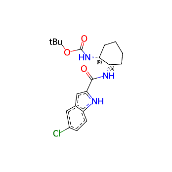 CC(C)(C)OC(=O)N[C@@H]1CCCC[C@@H]1NC(=O)c1cc2cc(Cl)ccc2[nH]1